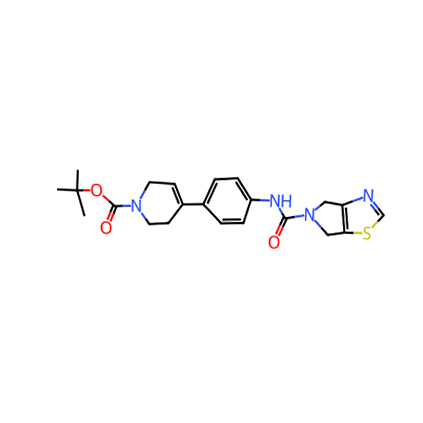 CC(C)(C)OC(=O)N1CC=C(c2ccc(NC(=O)N3Cc4ncsc4C3)cc2)CC1